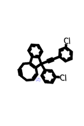 Clc1cccc(C#CC2(c3cccc(Cl)c3)C3=C(CC#CC/C=C\3)c3ccccc32)c1